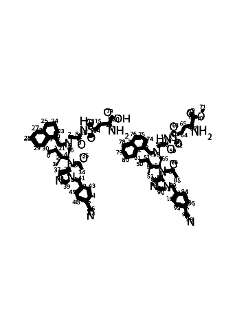 CC[C@H](C)[C@@H](CN(CC(=O)NS(=O)(=O)CCC(N)C(=O)O)Cc1cccc2ccccc12)N(C(C)=O)c1cncn1Cc1ccc(C#N)cc1.CC[C@H](C)[C@@H](CN(CC(=O)NS(=O)(=O)CC[C@H](N)C(=O)OC)Cc1cccc2ccccc12)N(C(C)=O)c1cncn1Cc1ccc(C#N)cc1